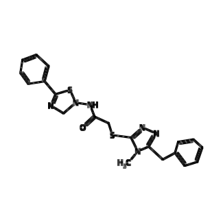 Cn1c(Cc2ccccc2)nnc1SCC(=O)NN1CN=C(c2ccccc2)S1